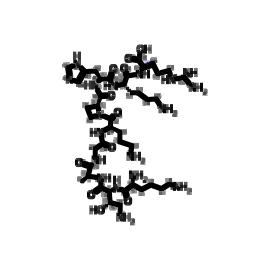 C[C@H](NC(=O)[C@@H](NC(=O)[C@@H](N)CCCCN)[C@@H](O)CN)C(=O)NCC(=O)N[C@H](CCCN)C(=O)N1CC[C@H]1C(=O)N[C@@H](Cc1cnc[nH]1)C(=O)N[C@@H](CCCCN)C(=O)N/C(=C\CCNC(=N)N)C(=O)O